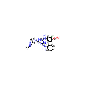 CNCCCN(C)c1nc(Nc2ccc(O)c(Cl)c2)nc(NC2CCCCCC2)n1